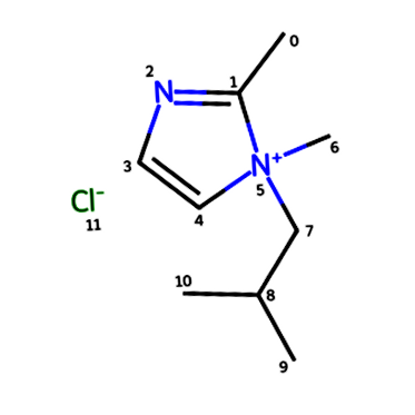 CC1=NC=C[N+]1(C)CC(C)C.[Cl-]